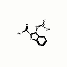 COC(=O)[C@@H]1Oc2ccccc2[C@@H]1N[S@@+]([O-])C(C)(C)C